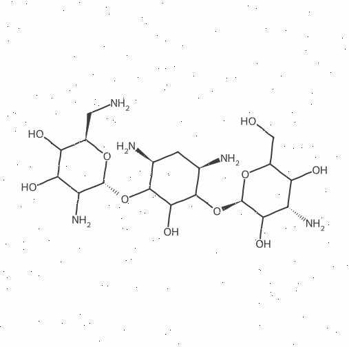 NC[C@H]1O[C@H](OC2C(O)C(O[C@H]3OC(CO)C(O)[C@H](N)C3O)[C@H](N)C[C@@H]2N)C(N)C(O)C1O